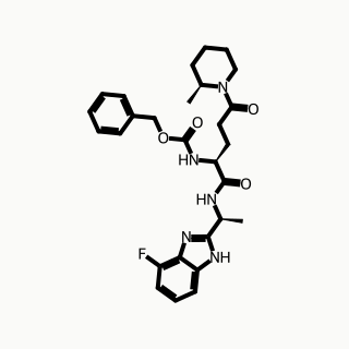 C[C@H](NC(=O)[C@H](CCC(=O)N1CCCC[C@@H]1C)NC(=O)OCc1ccccc1)c1nc2c(F)cccc2[nH]1